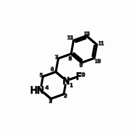 FN1CCNCC1Cc1ccccc1